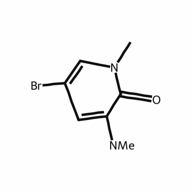 CNc1cc(Br)cn(C)c1=O